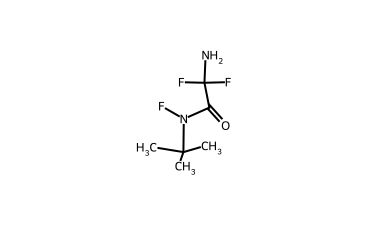 CC(C)(C)N(F)C(=O)C(N)(F)F